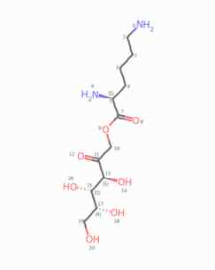 NCCCC[C@H](N)C(=O)OCC(=O)[C@@H](O)[C@@H](O)[C@H](O)CO